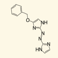 c1ccc(COc2c[nH]c(N=Nc3ncc[nH]3)n2)cc1